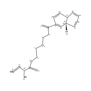 C=C(CCOCCOC(=O)C(N=N)C(C)C)C1=C[C@H]2C=CC=CC2C=C1